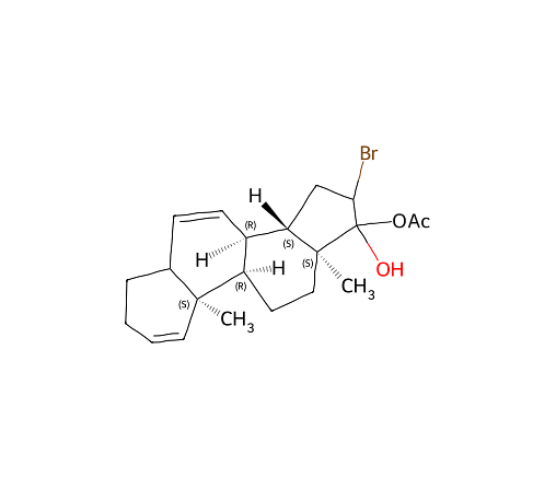 CC(=O)OC1(O)C(Br)C[C@H]2[C@@H]3C=CC4CCC=C[C@]4(C)[C@@H]3CC[C@@]21C